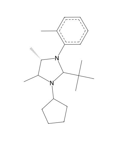 Cc1ccccc1N1C(C(C)(C)C)N(C2CCCC2)C(C)[C@@H]1C